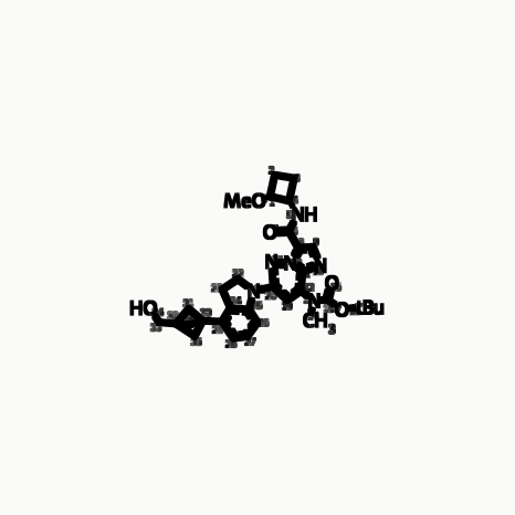 CO[C@@H]1CC[C@H]1NC(=O)c1cnc2c(N(C)C(=O)OC(C)(C)C)cc(N3CCc4c3cccc4C34CC(CO)(C3)C4)nn12